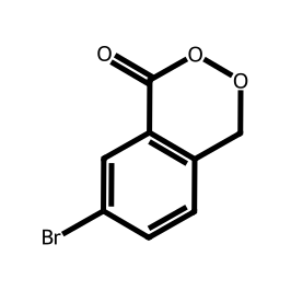 O=C1OOCc2ccc(Br)cc21